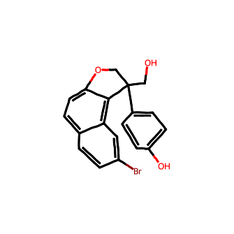 OCC1(c2ccc(O)cc2)COc2ccc3ccc(Br)cc3c21